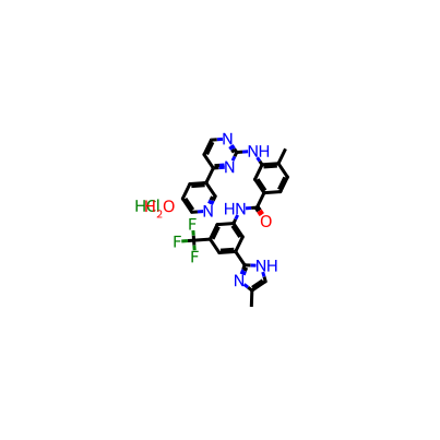 Cc1c[nH]c(-c2cc(NC(=O)c3ccc(C)c(Nc4nccc(-c5cccnc5)n4)c3)cc(C(F)(F)F)c2)n1.Cl.O